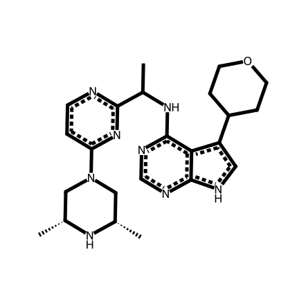 CC(Nc1ncnc2[nH]cc(C3CCOCC3)c12)c1nccc(N2C[C@@H](C)N[C@@H](C)C2)n1